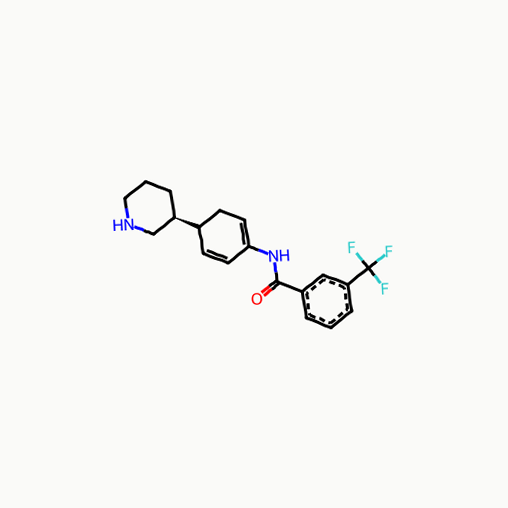 O=C(NC1=CCC([C@@H]2CCCNC2)C=C1)c1cccc(C(F)(F)F)c1